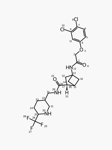 O=C(COc1ccc(Cl)c(Cl)c1)NC12CC(C1)[C@H](C(=O)NCC1CCC(C(F)(F)F)NC1)C2